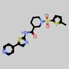 Cc1ccc(S(=O)(=O)N2CCCC(C(=O)Nc3ncc(-c4ccncc4)s3)C2)s1